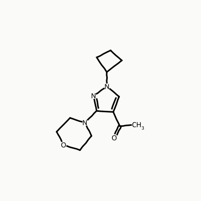 CC(=O)c1cn(C2CCC2)nc1N1CCOCC1